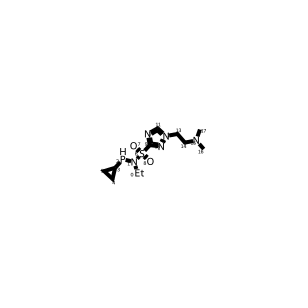 CCN(PC1CC1)S(=O)(=O)c1ncn(CCN(C)C)n1